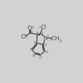 Cn1c(Cl)c(C(=O)Cl)c2ccccc21